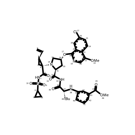 C=C[C@@H]1C[C@@]1(C(=O)NS(=O)(=O)C1CC1)N1C[C@H](Oc2ncc(OC)c3ccc(Cl)cc23)C[C@H]1C(=O)NC(=O)[C@H](Nc1cccc(C(=O)OC)c1)C(C)(C)C